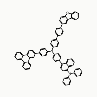 c1ccc(N(c2ccccc2)c2ccc(-c3ccc(N(c4ccc(-c5ccc(-c6ccc7oc8ccccc8c7c6)cc5)cc4)c4ccc(-c5ccc6c7ccccc7c7ccccc7c6c5)cc4)cc3)c3ccccc23)cc1